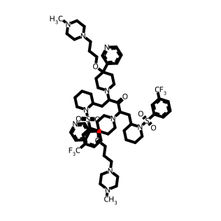 CN1CCN(CCCOC2(c3cccnc3)CCN(C(CC3CCCCN3S(=O)(=O)c3cccc(C(F)(F)F)c3)C(=O)C(CC3CCCCN3S(=O)(=O)c3cccc(C(F)(F)F)c3)N3CCC(OCCCN4CCN(C)CC4)(c4cccnc4)CC3)CC2)CC1